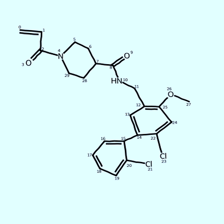 C=CC(=O)N1CCC(C(=O)NCc2cc(-c3ccccc3Cl)c(Cl)cc2OC)CC1